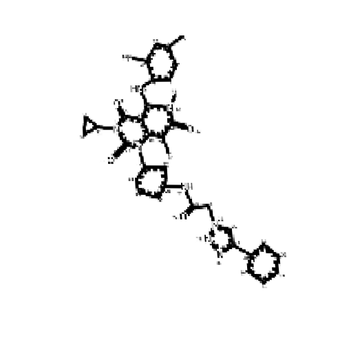 Cc1ccc(Nc2c3c(=O)n(C4CC4)c(=O)n(-c4cccc(NC(=O)Cn5cc(-c6ccccc6)nn5)c4)c3c(C)c(=O)n2C)c(F)c1